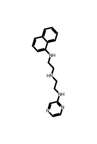 c1ccc2c(NCCNCCNc3cnccn3)cccc2c1